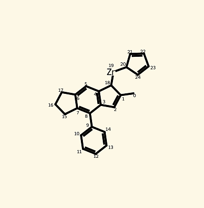 CC1=Cc2c(cc3c(c2-c2ccccc2)CCC3)[CH]1[Zr][CH]1C=CC=C1